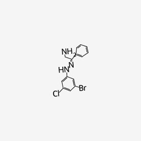 NCC(=NNc1cc(Cl)cc(Br)c1)c1ccccc1